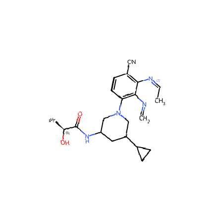 C=Nc1c(N2CC(NC(=O)[C@@H](O)C(C)C)CC(C3CC3)C2)ccc(C#N)c1/N=C\C